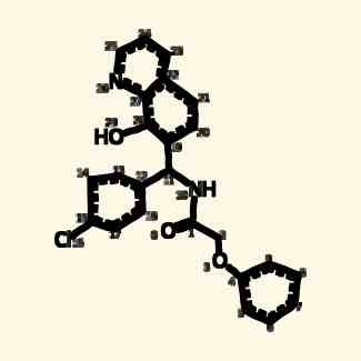 O=C(COc1ccccc1)NC(c1ccc(Cl)cc1)c1ccc2cccnc2c1O